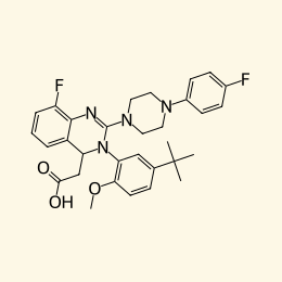 COc1ccc(C(C)(C)C)cc1N1C(N2CCN(c3ccc(F)cc3)CC2)=Nc2c(F)cccc2C1CC(=O)O